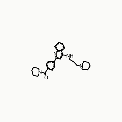 O=C(c1ccc(-c2cc(NCCCN3CCCCC3)c3ccccc3n2)cc1)N1CCCCC1